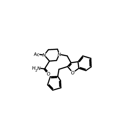 CC(=O)N1CCN(Cc2c(Cc3ccccc3)oc3ccccc23)CC1C(N)=O